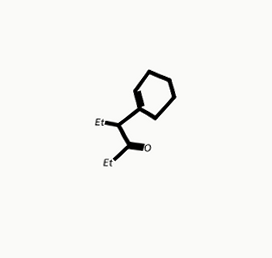 CCC(=O)C(CC)C1=CCCCC1